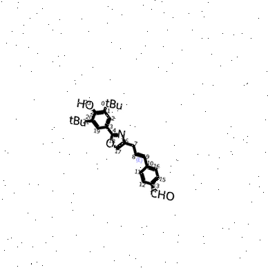 CC(C)(C)c1cc(-c2nc(C/C=C/c3ccc(C=O)cc3)co2)cc(C(C)(C)C)c1O